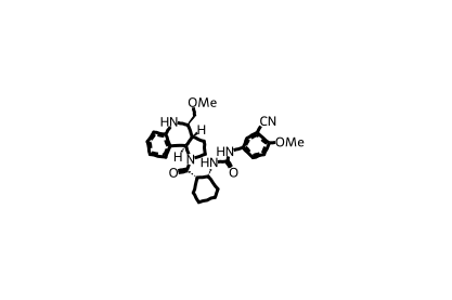 COC[C@@H]1Nc2ccccc2[C@H]2[C@H]1CCN2C(=O)[C@H]1CCCC[C@H]1NC(=O)Nc1ccc(OC)c(C#N)c1